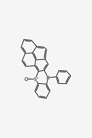 [O-][S+]1c2ccccc2B(c2ccccc2)c2cc3ccc4cccc5ccc(c21)c3c45